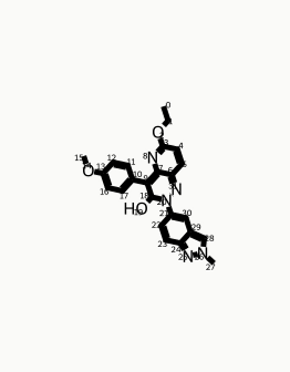 CCOc1ccc2c(n1)=C(c1ccc(OC)cc1)C(O)N(c1ccc3nn(C)cc3c1)N=2